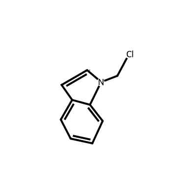 ClCn1[c]cc2ccccc21